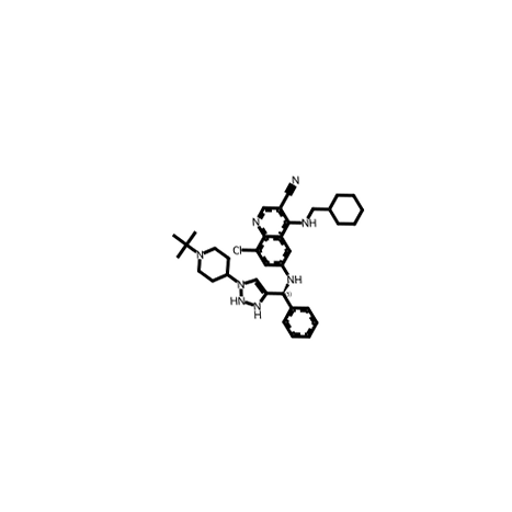 CC(C)(C)N1CCC(N2C=C([C@@H](Nc3cc(Cl)c4ncc(C#N)c(NCC5CCCCC5)c4c3)c3ccccc3)NN2)CC1